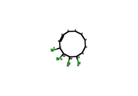 BrC1C=CCCCCCCC(Br)C(Br)C1Br